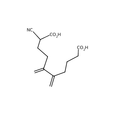 C=C(CCCC(=O)O)C(=C)CCC(C#N)C(=O)O